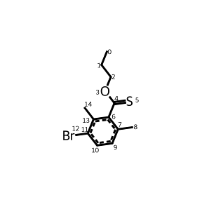 CCCOC(=S)c1c(C)ccc(Br)c1C